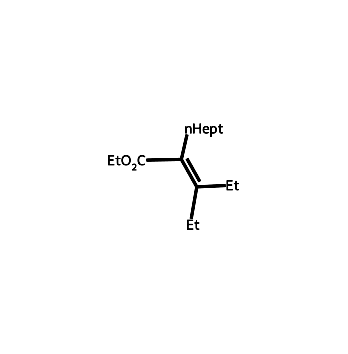 CCCCCCCC(C(=O)OCC)=C(CC)CC